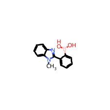 Cn1c(-c2ccccc2B(O)O)nc2ccccc21